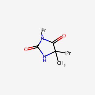 CC(C)N1C(=O)NC(C)(C(C)C)C1=O